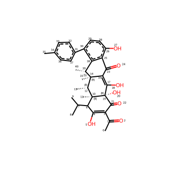 CC(=O)C1=C(O)C(C(C)C)[C@@]2(C)[C@H](C)[C@]3(C)C(=C(O)[C@@]2(O)C1=O)C(=O)c1c(O)ccc(-c2ccc(C)cc2)c1[C@H]3C